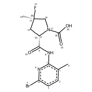 Cc1ccc(Br)nc1NC(=O)[C@@H]1C[C@@](C)(F)CN1C(=O)O